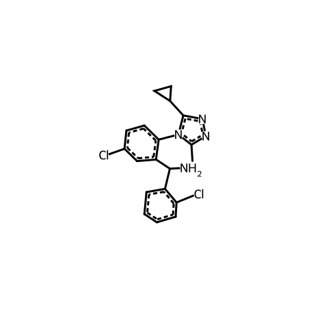 Cc1nnc(C2CC2)n1-c1ccc(Cl)cc1C(N)c1ccccc1Cl